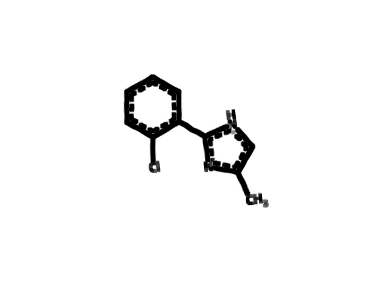 Cc1c[nH]c(-c2ccccc2Cl)n1